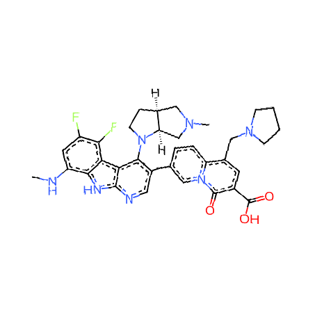 CNc1cc(F)c(F)c2c1[nH]c1ncc(-c3ccc4c(CN5CCCC5)cc(C(=O)O)c(=O)n4c3)c(N3CC[C@H]4CN(C)C[C@H]43)c12